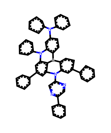 c1ccc(-c2ccc3c(c2)N(c2cnc(-c4ccccc4)cn2)c2cc(-c4ccccc4)cc4c2B3c2ccc(N(c3ccccc3)c3ccccc3)cc2N4c2ccccc2)cc1